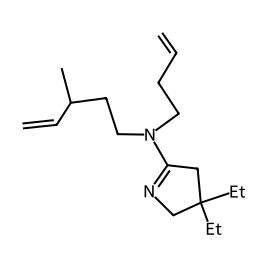 C=CCCN(CCC(C)C=C)C1=NCC(CC)(CC)C1